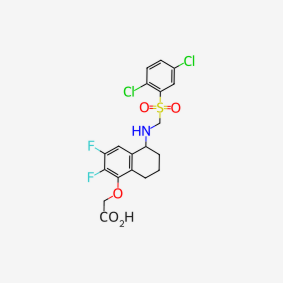 O=C(O)COc1c(F)c(F)cc2c1CCCC2NCS(=O)(=O)c1cc(Cl)ccc1Cl